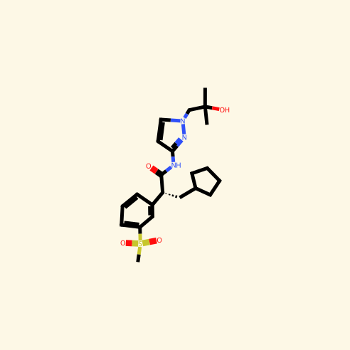 CC(C)(O)Cn1ccc(NC(=O)[C@H](CC2CCCC2)c2cccc(S(C)(=O)=O)c2)n1